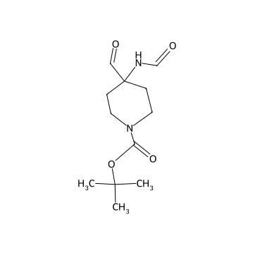 CC(C)(C)OC(=O)N1CCC(C=O)(NC=O)CC1